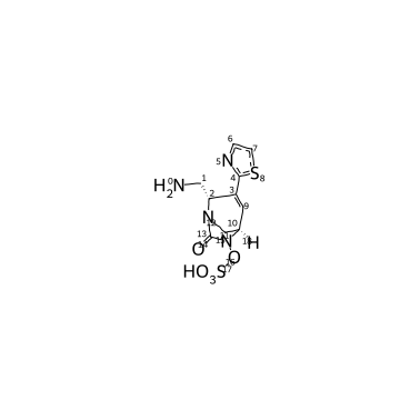 NC[C@@H]1C(c2nccs2)=C[C@@H]2CN1C(=O)N2OS(=O)(=O)O